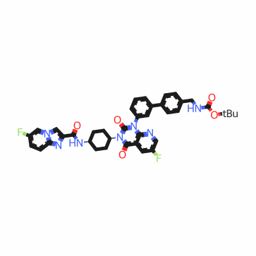 CC(C)(C)OC(=O)NCc1ccc(-c2cccc(-n3c(=O)n([C@H]4CC[C@@H](NC(=O)c5cn6cc(F)ccc6n5)CC4)c(=O)c4cc(F)cnc43)c2)cc1